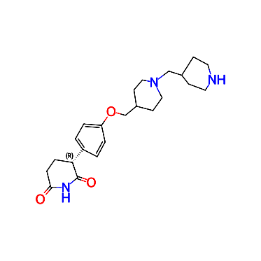 O=C1CC[C@H](c2ccc(OCC3CCN(CC4CCNCC4)CC3)cc2)C(=O)N1